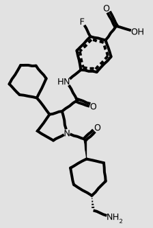 NC[C@H]1CC[C@H](C(=O)N2CCC(C3CCCCC3)C2C(=O)Nc2ccc(C(=O)O)c(F)c2)CC1